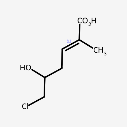 C/C(=C\CC(O)CCl)C(=O)O